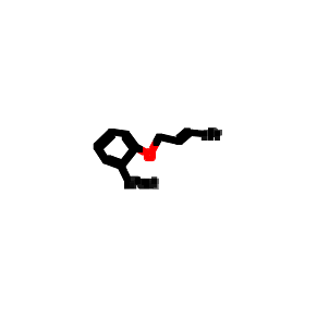 [CH2]CCCCc1ccccc1OCC=CCCC